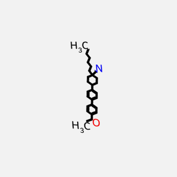 CCCCCCCC1(C#N)CCC(c2ccc(-c3ccc(C(=O)CC)cc3)cc2)CC1